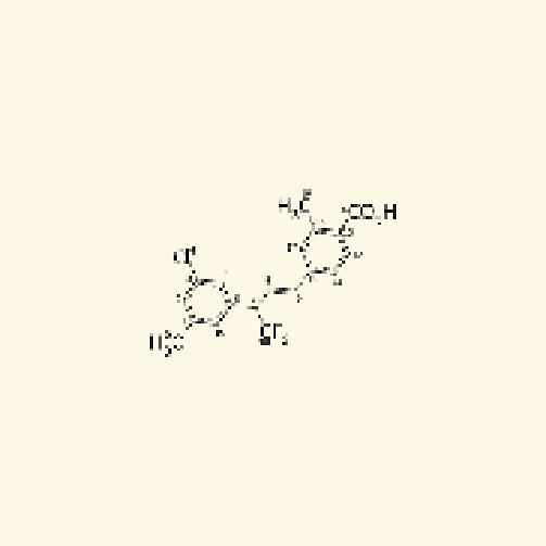 Cc1cc(Cl)cc(C(/C=C/c2ccc(C(=O)O)c(C)c2)C(F)(F)F)c1